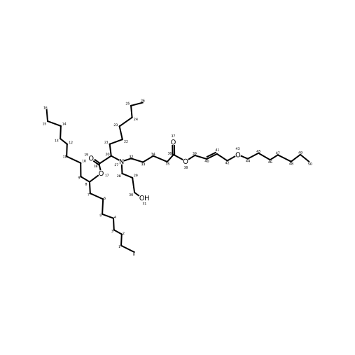 CCCCCCCCC(CCCCCCCC)OC(=O)C(CCCCCC)N(CCCO)CCCCC(=O)OCC=CCOCCCCCCC